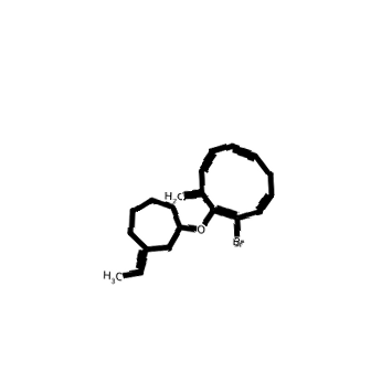 C=C1/C=C\C=C/C/C=C\C(Br)=C/1OC1CCCC/C(=C\C)C1